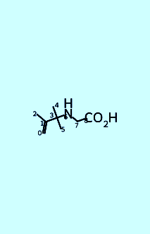 C=C(C)C(C)(C)NCC(=O)O